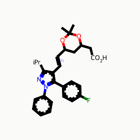 CC(C)c1nn(-c2ccccc2)c(-c2ccc(F)cc2)c1/C=C/C1CC(CC(=O)O)OC(C)(C)O1